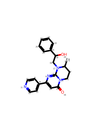 CCC1CCn2c(nc(-c3ccncc3)cc2=O)N1CC(O)c1ccccc1